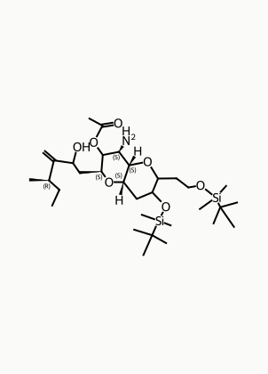 C=C(C(O)C[C@@H]1O[C@H]2CC(O[Si](C)(C)C(C)(C)C)C(CCO[Si](C)(C)C(C)(C)C)O[C@H]2[C@H](N)C1OC(C)=O)[C@H](C)CC